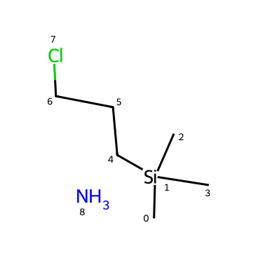 C[Si](C)(C)CCCCl.N